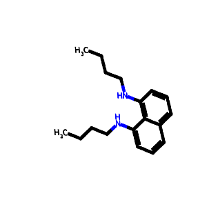 CCCCNc1cccc2cccc(NCCCC)c12